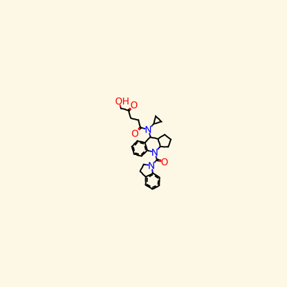 O=C(CO)CCC(=O)N(C1CC1)C1c2ccccc2N(C(=O)N2CCc3ccccc32)C2CCCC21